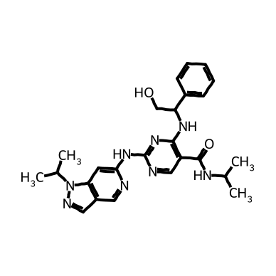 CC(C)NC(=O)c1cnc(Nc2cc3c(cn2)cnn3C(C)C)nc1NC(CO)c1ccccc1